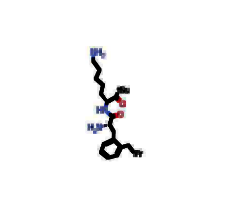 CC(C)Cc1ccccc1C[C@H](N)C(=O)N[C@@H](CCCCCN)C(=O)C(C)(C)C